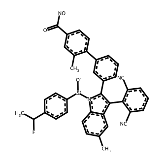 Cc1ccc2c(c1)c(-c1c(C#N)cccc1C#N)c(-c1cccc(-c3ccc(C(=O)N=O)cc3C)c1)n2[S+]([O-])c1ccc(C(C)F)cc1